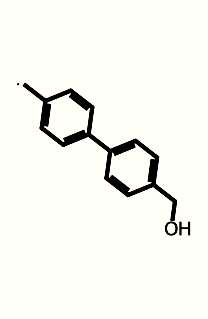 [CH2]c1ccc(-c2ccc(CO)cc2)cc1